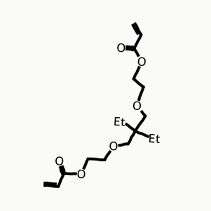 C=CC(=O)OCCOCC(CC)(CC)COCCOC(=O)C=C